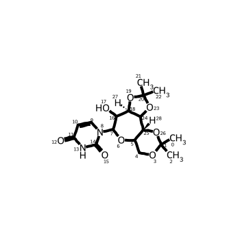 CC1(C)OCC2OC(n3ccc(=O)[nH]c3=O)C(O)[C@H]3OC(C)(C)OC3[C@@H]2O1